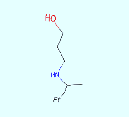 CCC(C)NCCCO